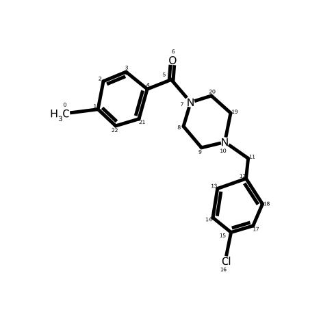 Cc1c[c]c(C(=O)N2CCN(Cc3ccc(Cl)cc3)CC2)cc1